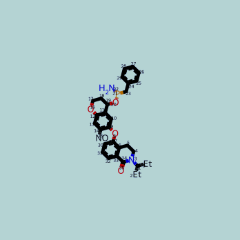 CCC(CC)N1CCc2c(Oc3cc4c(cc3[N+](=O)[O-])OCCC4OP(N)Cc3ccccc3)cccc2C1=O